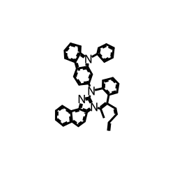 C=C/C=C\C1=C(C)n2c(nc3c4ccccc4ccc32)N(c2ccc3c4ccccc4n(-c4ccccc4)c3c2)c2ccccc21